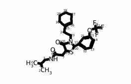 CC(C)CNC(=O)CC1SC(c2cccc(OC(F)(F)F)c2)N(CCC2=CCCCC2)C1=O